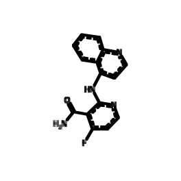 NC(=O)c1c(F)ccnc1Nc1ccnc2ccccc12